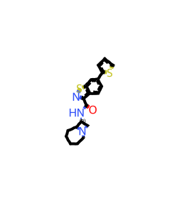 O=C(N[C@@H]1CN2CCCCCC12)c1nsc2cc(-c3cccs3)ccc12